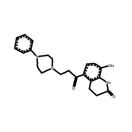 O=C1CCc2c(C(=O)CCN3CCN(c4ccccc4)CC3)ccc(O)c2N1